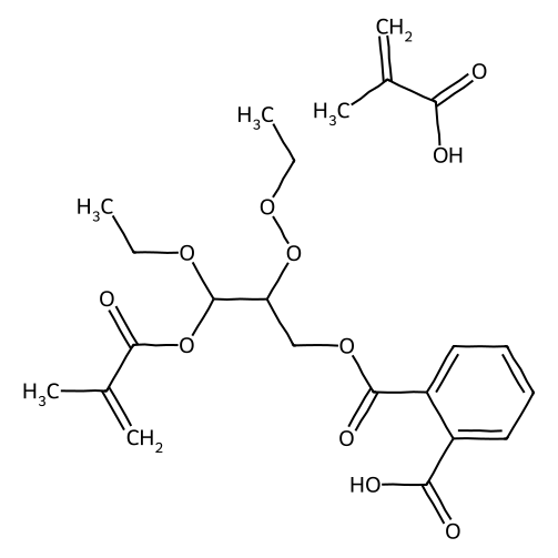 C=C(C)C(=O)O.C=C(C)C(=O)OC(OCC)C(COC(=O)c1ccccc1C(=O)O)OOCC